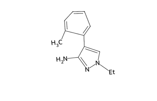 CCn1cc(-c2ccccc2C)c(N)n1